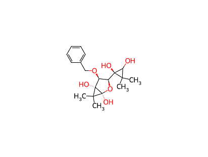 CC1(C)C(O)[C@@]1(O)[C@H]1O[C@@]2(O)C(C)(C)[C@@]2(O)[C@H]1OCc1ccccc1